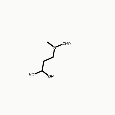 CN(C=O)CCC(O)O